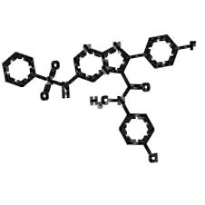 CN(C(=O)c1c(-c2ccc(F)cc2)nc2ncc(NS(=O)(=O)c3ccccc3)cn12)c1ccc(Cl)cc1